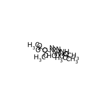 COC(=O)c1ccc(Cn2ncc3nc(NC(=O)OC(C)(C)C)nc(O)c32)c(OC)c1